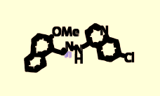 COc1ccc2ccccc2c1/C=N/Nc1ccnc2cc(Cl)ccc12